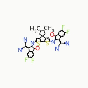 C[C@H]1CC2(C[C@@H]1C)c1cc(/N=C3\C(=O)c4cc(F)c(F)cc4C3=C(C#N)C#N)sc1-c1sc(/N=C3\C(=O)c4cc(F)c(F)cc4C3=C(C#N)C#N)cc12